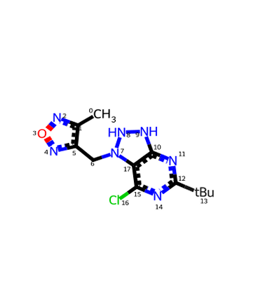 Cc1nonc1CN1NNc2nc(C(C)(C)C)nc(Cl)c21